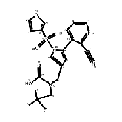 CC(C)(C)CN(Cc1cc(-c2cccnc2C#N)n(S(=O)(=O)c2ccoc2)c1)C(=O)O